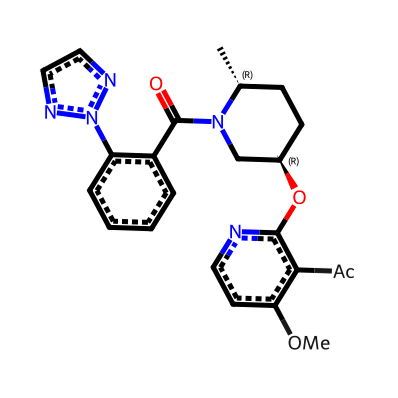 COc1ccnc(O[C@@H]2CC[C@@H](C)N(C(=O)c3ccccc3-n3nccn3)C2)c1C(C)=O